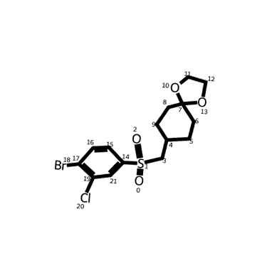 O=S(=O)(CC1CCC2(CC1)OCCO2)c1ccc(Br)c(Cl)c1